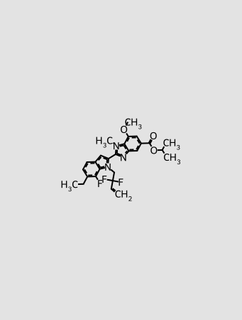 C=CC(F)(F)Cn1c(-c2nc3cc(C(=O)OC(C)C)cc(OC)c3n2C)cc2ccc(CC)c(F)c21